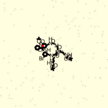 CN1CC(=O)NCc2cccc(Cl)c2[SH](Cc2cn(C(=O)OC(C)(C)C)c3ccccc23)c2ccc(Br)cc2CN[C@@H](CCCNC(=O)OC(C)(C)C)C(=O)N[C@@H](CCCCNC(=O)OC(C)(C)C)C1=O